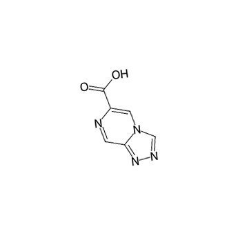 O=C(O)c1cn2cnnc2cn1